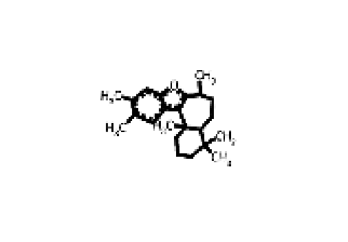 Cc1cc2oc3c(c2cc1C)C1(C)CCCC(C)(C)C1CCC3C